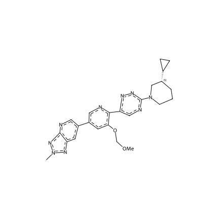 COCOc1cc(-c2cnc3nn(C)nc3c2)cnc1-c1cnc(N2CCC[C@@H](C3CC3)C2)nn1